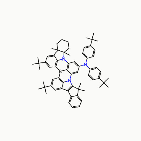 CC(C)(C)c1ccc(N(c2ccc(C(C)(C)C)cc2)c2cc3c4c(c2)-n2c5c(c6cc(C(C)(C)C)cc(c62)B4c2cc(C(C)(C)C)cc4c2N3C2(C)CCCCC42C)-c2ccccc2C5(C)C)cc1